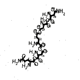 NC(=O)CC[C@H](N)C(=O)OC(=O)[C@@H](N)CC(=O)OC(=O)[C@@H](N)CCC(=O)OC(=O)C[C@H](N)C(=O)OC(=O)[C@@H](N)CC(N)=O